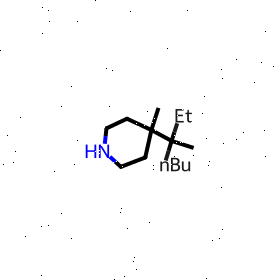 CCCCC(C)(CC)C1(C)CCNCC1